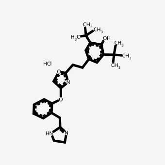 CC(C)(C)c1cc(CCc2nc(Oc3ccccc3CC3=NCCN3)co2)cc(C(C)(C)C)c1O.Cl